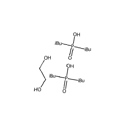 CCC(C)P(=O)(O)C(C)CC.CCC(C)P(=O)(O)C(C)CC.OCCO